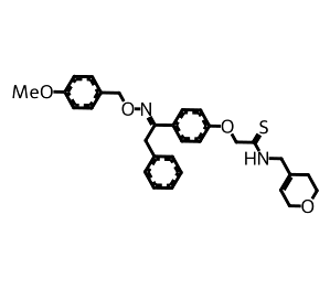 COc1ccc(CO/N=C(\Cc2ccccc2)c2ccc(OCC(=S)NCC3=CCOCC3)cc2)cc1